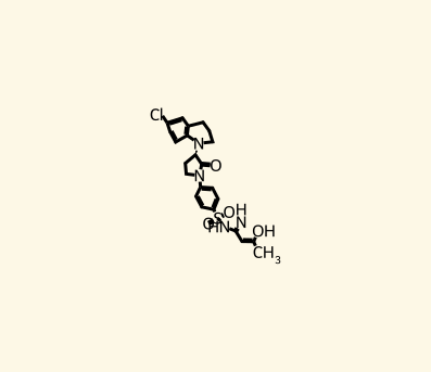 C/C(O)=C/C(=N)NS(=O)(=O)c1ccc(N2CC[C@H](N3CCCc4cc(Cl)ccc43)C2=O)cc1